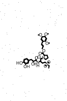 CCS(=O)(=O)CCC(NC(=O)C(O)Cc1ccc(O)c(O)c1)C(=O)N1CCCC1C(=O)OC/C=C/C1=CC(OC)C(OC)C=C1OC